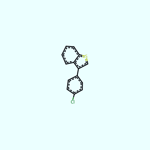 Clc1ccc(-c2csc3ccccc23)cc1